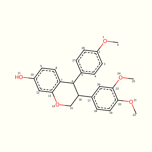 COc1ccc(C2c3ccc(O)cc3OCC2c2ccc(OC)c(OC)c2)cc1